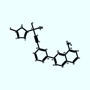 Cc1nnc(C(C)(O)C#Cc2cccc(-c3ncc4ccnc(N)c4n3)c2)o1